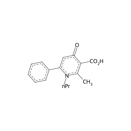 CCCn1c(-c2ccccc2)cc(=O)c(C(=O)O)c1C